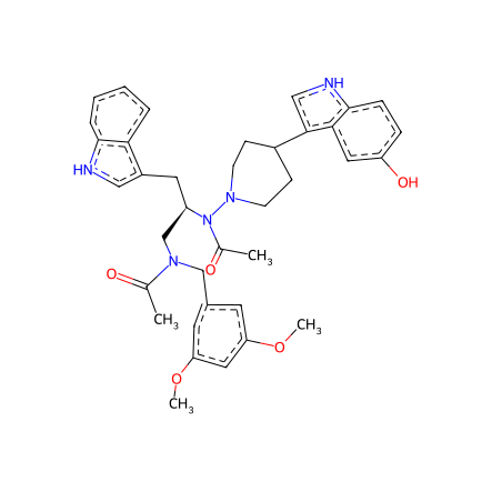 COc1cc(CN(C[C@@H](Cc2c[nH]c3ccccc23)N(C(C)=O)N2CCC(c3c[nH]c4ccc(O)cc34)CC2)C(C)=O)cc(OC)c1